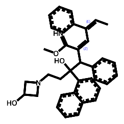 C/C=C(\C=C(/C(=N)OC)C(c1ccccc1)C(O)(CCN1CC(O)C1)c1cccc2ccccc12)c1ccccc1